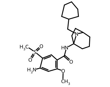 COc1cc(N)c(S(C)(=O)=O)cc1C(=O)NC12CCCC(CC1)N2CC1CCCCC1